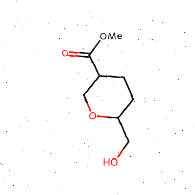 COC(=O)C1CCC(CO)OC1